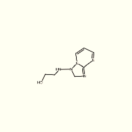 OCCNN1CN=C2N=CC=CN21